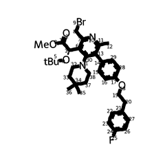 COC(=O)[C@@H](OC(C)(C)C)c1c(CBr)nc(C)c(-c2ccc(OCCc3ccc(F)cc3)cc2)c1N1CCC(C)(C)CC1